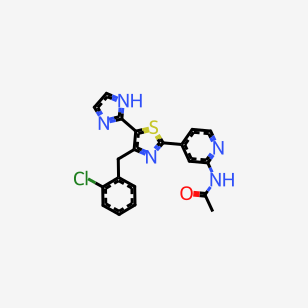 CC(=O)Nc1cc(-c2nc(Cc3ccccc3Cl)c(-c3ncc[nH]3)s2)ccn1